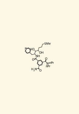 CCCN(CCC)C(=O)c1cc(C(N)=O)cc(C(=O)NC(Cc2ccncc2)C(O)C(O)CCCSC)c1